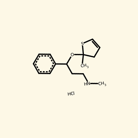 CNCCC(OC1(C)CC=CS1)c1ccccc1.Cl